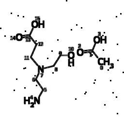 CC(=O)O.NCCN(CCO)CCC(=O)O